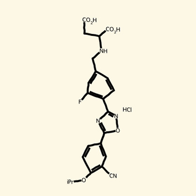 CC(C)Oc1ccc(-c2nc(-c3ccc(CNC(CC(=O)O)C(=O)O)cc3F)no2)cc1C#N.Cl